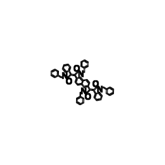 O=C1/C(=C2/C(=O)N(Cc3ccccc3)c3c2ccc2c4c(ccc32)/C(=C2\C(=O)N(Cc3ccccc3)c3ccccc32)C(=O)N4Cc2ccccc2)c2ccccc2N1Cc1ccccc1